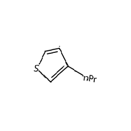 CCCc1[c]csc1